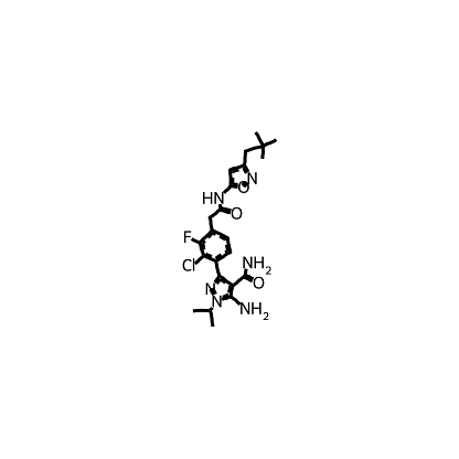 CC(C)n1nc(-c2ccc(CC(=O)Nc3cc(CC(C)(C)C)no3)c(F)c2Cl)c(C(N)=O)c1N